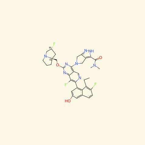 CCc1c(F)ccc2cc(O)cc(-c3ncc4c(N5Cc6n[nH]c(C(=O)N(C)C)c6C5)nc(OC[C@@]56CCCN5C[C@H](F)C6)nc4c3F)c12